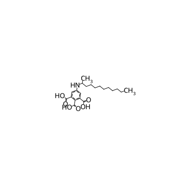 CCCCCCCCCCC(C)Nc1cc(C(=O)O)c(C(=O)O)c(C(=O)O)c1